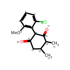 COc1cccc(Cl)c1C1C(=O)CC(C)C(C)C1=O